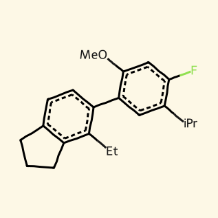 CCc1c(-c2cc(C(C)C)c(F)cc2OC)ccc2c1CCC2